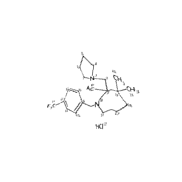 CC(=O)C1(CN2CCCC2)N(c2ccc(C(F)(F)F)cc2)CCCC1(C)C.Cl